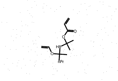 C=COC(C)(BC(C)(C)OC(=O)C=C)CCC